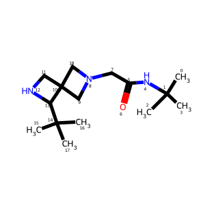 CC(C)(C)NC(=O)CN1CC2(CNC2C(C)(C)C)C1